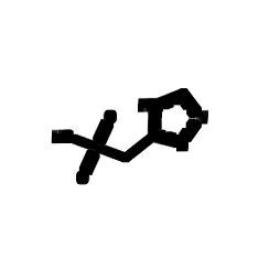 O=S(=O)(O)Cc1nnc[nH]1